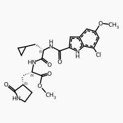 COC(=O)[C@H](C[C@@H]1CCNC1=O)NC(=O)[C@H](CC1CC1)NC(=O)c1cc2cc(OC)cc(Cl)c2[nH]1